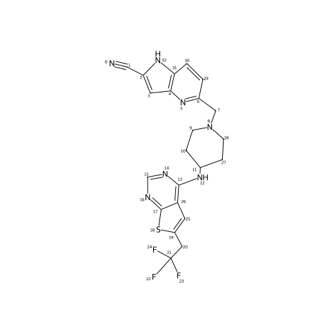 N#Cc1cc2nc(CN3CCC(Nc4ncnc5sc(CC(F)(F)F)cc45)CC3)ccc2[nH]1